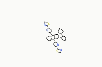 c1ccc(-c2ccccc2-c2ccc3c(-c4ccc(-c5nccs5)nc4)c4ccccc4c(-c4ccc(-c5nccs5)nc4)c3c2)cc1